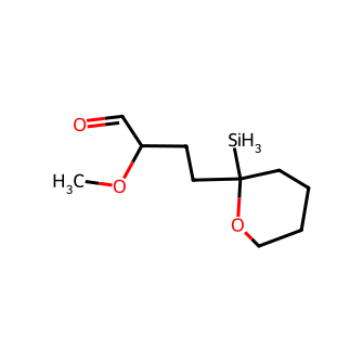 COC(C=O)CCC1([SiH3])CCCCO1